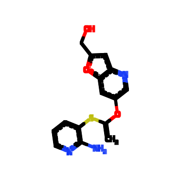 C=C(Oc1cnc2cc(CO)oc2c1)Sc1cccnc1N